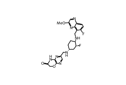 COc1cnc2ccc(F)c(CN[C@@H]3CC[C@@H](NCc4cnc5c(n4)NC(=O)CO5)C[C@@H]3F)c2n1